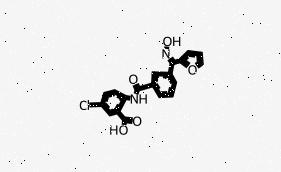 O=C(Nc1ccc(Cl)cc1C(=O)O)c1cccc(C(=NO)c2ccco2)c1